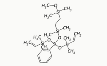 C=C[Si](C)(C)O[Si](O[Si](C)(C)C=C)(O[Si](C)(C)CC[Si](C)(C)OC)c1ccccc1